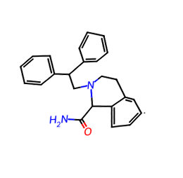 NC(=O)C1c2cc[c]cc2CCN1CC(c1ccccc1)c1ccccc1